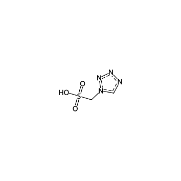 O=S(=O)(O)Cn1cnnn1